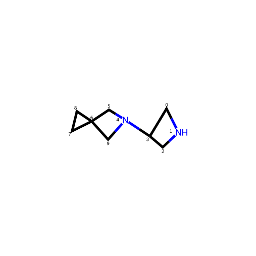 C1NCC1N1CC2(CC2)C1